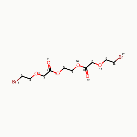 O=C(COCCBr)OCCOC(=O)COCCBr